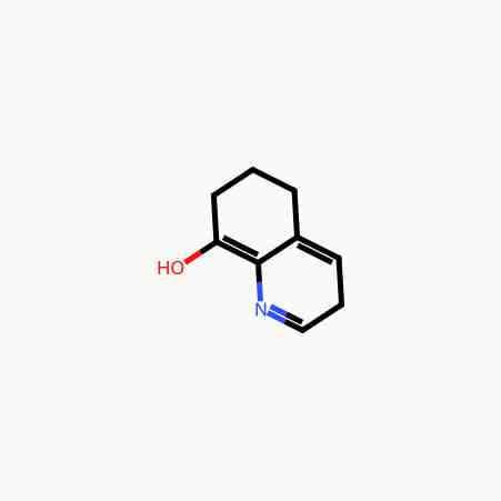 OC1=C2N=CCC=C2CCC1